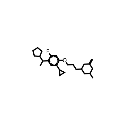 C=C1CC(C)CC(CCCOc2cc(F)c(C(C)C3CCCC3)cc2C2CC2)C1